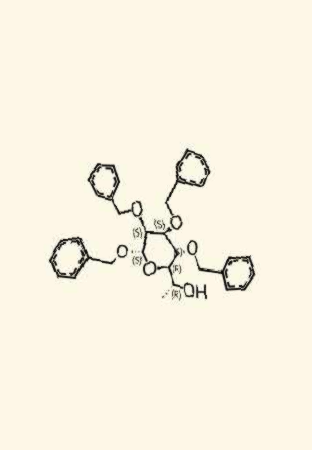 C[C@@H](O)[C@H]1O[C@H](OCc2ccccc2)[C@@H](OCc2ccccc2)[C@@H](OCc2ccccc2)[C@@H]1OCc1ccccc1